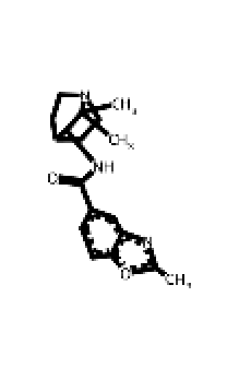 Cc1nc2cc(C(=O)NC3C4CCN(CC4)C3(C)C)ccc2o1